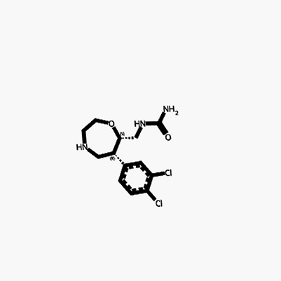 NC(=O)NC[C@H]1OCCNC[C@H]1c1ccc(Cl)c(Cl)c1